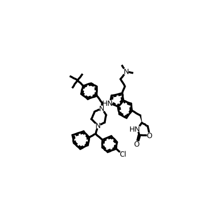 CC(C)(C)c1ccc(CN2CCN(C(c3ccccc3)c3ccc(Cl)cc3)CC2)cc1.CN(C)CCc1c[nH]c2ccc(C[C@H]3COC(=O)N3)cc12